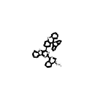 C[C@@H]1C=NC(c2nc(-c3ccc4c(c3)C3(c5ccccc5O4)c4ccccc4-c4ccccc43)c3sc4ccccc4c3n2)=C2C=CC=CC21